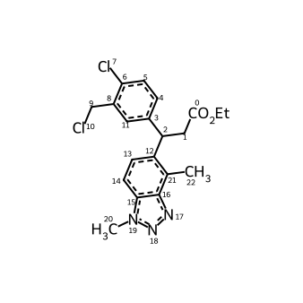 CCOC(=O)CC(c1ccc(Cl)c(CCl)c1)c1ccc2c(nnn2C)c1C